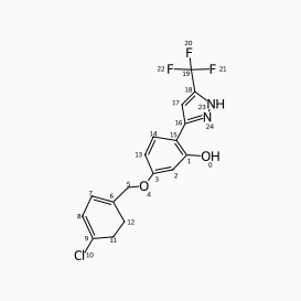 Oc1cc(OCC2=CC=C(Cl)CC2)ccc1-c1cc(C(F)(F)F)[nH]n1